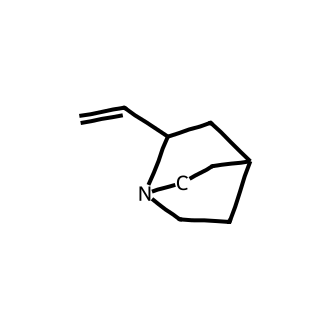 C=CC1CC2CCN1CC2